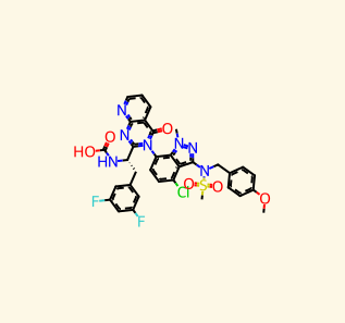 COc1ccc(CN(c2nn(C)c3c(-n4c([C@H](Cc5cc(F)cc(F)c5)NC(=O)O)nc5ncccc5c4=O)ccc(Cl)c23)S(C)(=O)=O)cc1